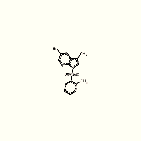 Cc1ccccc1S(=O)(=O)n1cc(C)c2cc(Br)cnc21